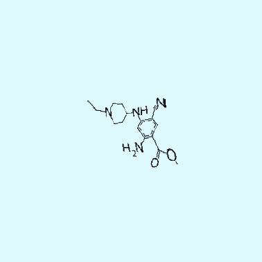 CCN1CCC(Nc2cc(N)c(C(=O)OC)cc2C#N)CC1